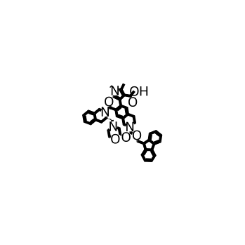 Cc1c(C(=O)O)c(-c2cc3c(cc2C(=O)N2Cc4ccccc4C[C@H]2CN2CCOCC2)CN(C(=O)OCC2c4ccccc4-c4ccccc42)CC3)cn1C